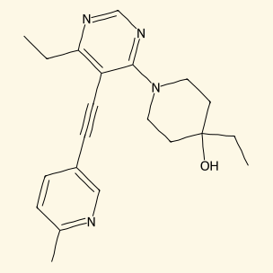 CCc1ncnc(N2CCC(O)(CC)CC2)c1C#Cc1ccc(C)nc1